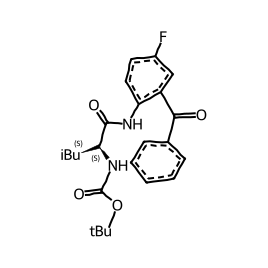 CC[C@H](C)[C@H](NC(=O)OC(C)(C)C)C(=O)Nc1ccc(F)cc1C(=O)c1ccccc1